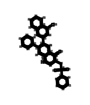 O=c1c(CS(=O)(=O)c2ccccc2)c[nH]c2nc(-c3ccccc3)c(-c3cc(Cl)c4ncccc4c3)cc12